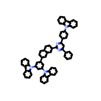 c1ccc(-c2cc(-c3ccc(-n4c5ccccc5c5ccccc54)cc3)nc(-c3ccc4ccc(-c5cc(-n6c7ccccc7c7ccccc76)cc(-n6c7ccccc7c7ccccc76)c5)cc4c3)n2)cc1